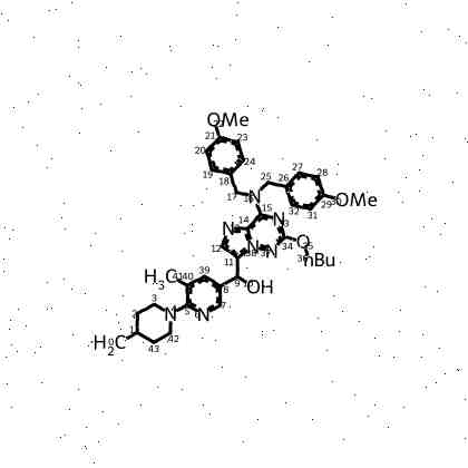 [CH2]C1CCN(c2ncc(C(O)c3cnc4c(N(Cc5ccc(OC)cc5)Cc5ccc(OC)cc5)nc(OCCCC)nn34)cc2C)CC1